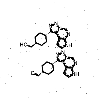 O=C[C@H]1CC[C@H](c2nnn3cnc4[nH]ccc4c23)CC1.OC[C@H]1CC[C@H](c2nnn3cnc4[nH]ccc4c23)CC1